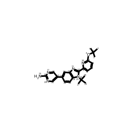 CC(C)(C)Oc1cccc(-c2nc3cc(-c4cnc(N)nc4)ccc3n2C(C)(C)C)n1